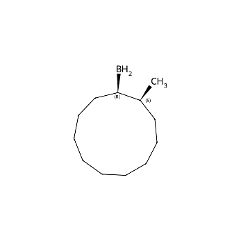 B[C@@H]1CCCCCCCCC[C@@H]1C